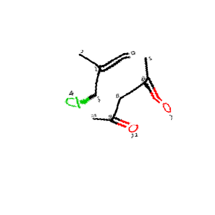 C=C(C)CCl.CC(=O)CC(C)=O